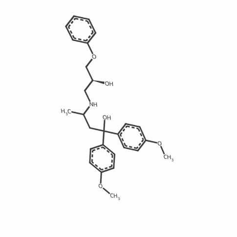 COc1ccc(C(O)(CC(C)NC[C@H](O)COc2ccccc2)c2ccc(OC)cc2)cc1